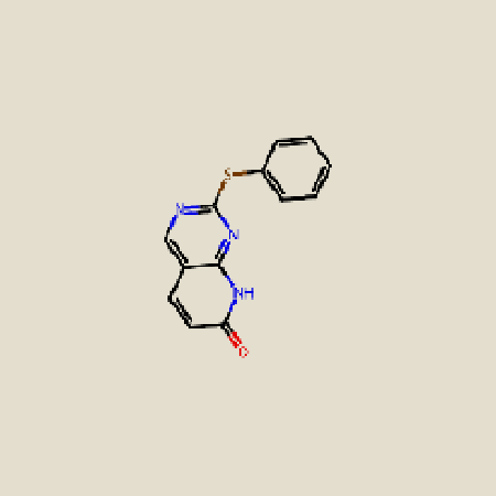 O=c1ccc2cnc(Sc3ccccc3)nc2[nH]1